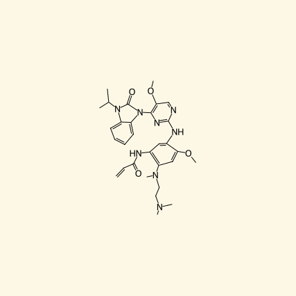 C=CC(=O)Nc1cc(Nc2ncc(OC)c(-n3c(=O)n(C(C)C)c4ccccc43)n2)c(OC)cc1N(C)CCN(C)C